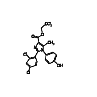 Cc1c(C(=O)OCC(Cl)(Cl)Cl)nc(-c2ccc(Cl)cc2Cl)n1-c1ccc(O)cc1